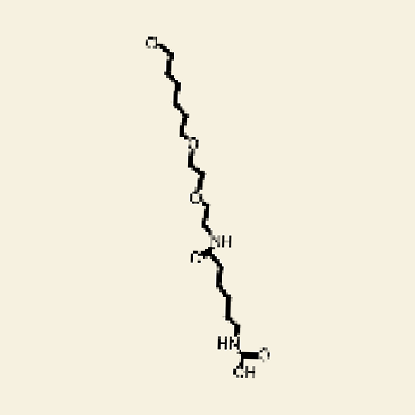 O=C(O)NCCCCCC(=O)NCCOCCOCCCCCCCl